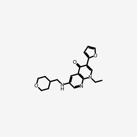 CCn1cc(-c2ccco2)c(=O)c2cc(NCC3CCOCC3)cnc21